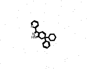 C1=CC(c2ccccc2)(C2CCCCC2)Cc2[nH]nc(-c3ccccn3)c21